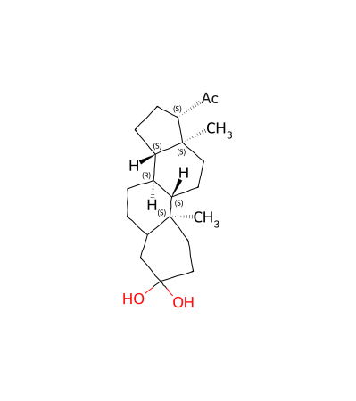 CC(=O)[C@H]1CC[C@H]2[C@@H]3CCC4CC(O)(O)CC[C@]4(C)[C@H]3CC[C@]12C